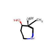 CO[C@@]1(C)CNCC[C@H]1O